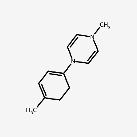 CC1=CC=C(N2C=CN(C)C=C2)CC1